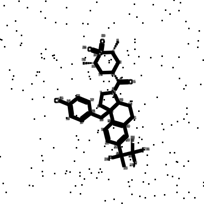 C[C@@H]1C[C@H](C(=O)N2CCC3(Cc4ccc(Cl)cc4)c4ccc(C(C)(F)C(F)(F)F)cc4CCC23)C[C@H](C)S1(=O)=O